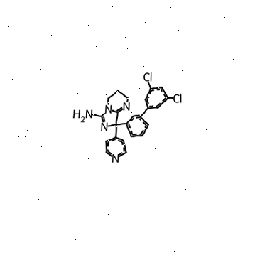 NC1=NC(c2ccncc2)(c2cccc(-c3cc(Cl)cc(Cl)c3)c2)C2=NCCCN12